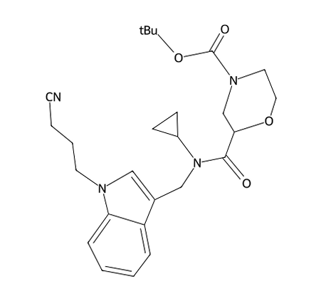 CC(C)(C)OC(=O)N1CCOC(C(=O)N(Cc2cn(CCCC#N)c3ccccc23)C2CC2)C1